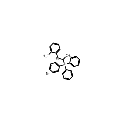 Cc1ccccc1NC(C)[P+](c1ccccc1)(c1ccccc1)c1ccccc1.[Br-]